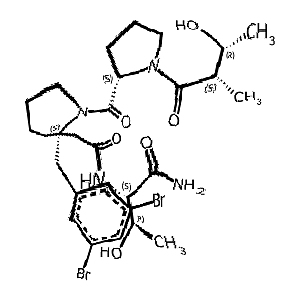 C[C@H](C(=O)N1CCC[C@H]1C(=O)N1CCC[C@]1(Cc1cc(Br)cc(Br)c1)C(=O)N[C@H](C(N)=O)[C@@H](C)O)[C@@H](C)O